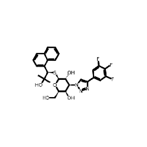 CC(C)(O)[C@H](S[C@@H]1O[C@H](CO)[C@H](O)[C@H](n2cc(-c3cc(F)c(F)c(F)c3)nn2)[C@H]1O)c1cccc2ccccc12